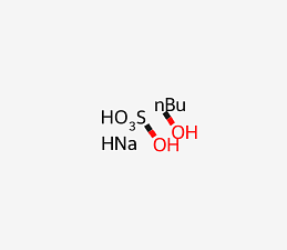 CCCCO.O=S(=O)(O)O.[NaH]